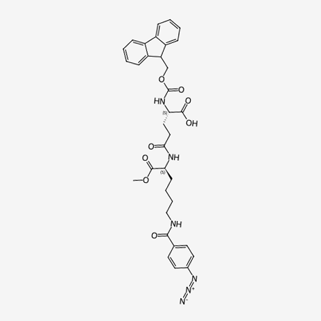 COC(=O)[C@H](CCCCNC(=O)c1ccc(N=[N+]=[N-])cc1)NC(=O)CC[C@H](NC(=O)OCC1c2ccccc2-c2ccccc21)C(=O)O